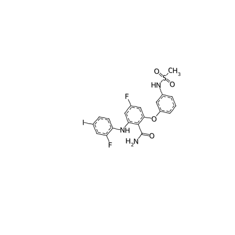 CS(=O)(=O)Nc1cccc(Oc2cc(F)cc(Nc3ccc(I)cc3F)c2C(N)=O)c1